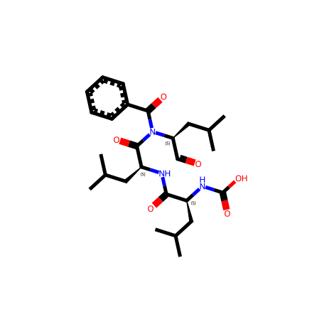 CC(C)C[C@H](NC(=O)O)C(=O)N[C@@H](CC(C)C)C(=O)N(C(=O)c1ccccc1)[C@H](C=O)CC(C)C